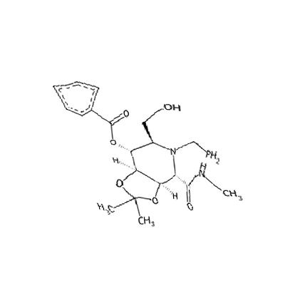 CNC(=O)[C@@H]1[C@H]2OC(C)(C)O[C@H]2[C@H](OC(=O)c2ccccc2)[C@@H](CO)N1CP